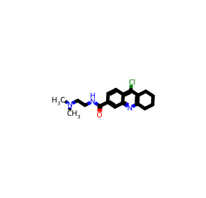 CN(C)CCNC(=O)c1ccc2c(Cl)c3c(nc2c1)CCCC3